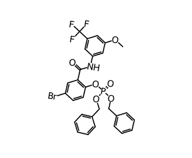 COc1cc(NC(=O)c2cc(Br)ccc2OP(=O)(OCc2ccccc2)OCc2ccccc2)cc(C(F)(F)F)c1